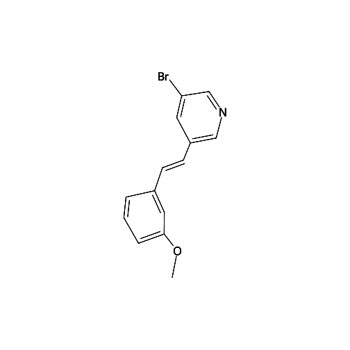 COc1cccc(/C=C/c2cncc(Br)c2)c1